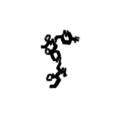 C=N/C(CCN1CCC2(CC1)CN(Cc1ccc(F)cn1)C(=O)C(C)O2)=C(Cl)\C=C/C